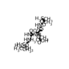 CC(C)(C)OC(=O)Nc1nc(/C(=N/OC(C)(C)C(=O)O)C(=O)N[C@@H]2C(=O)N[C@@H]2CNCCO[Si](C)(C)C(C)(C)C)cs1